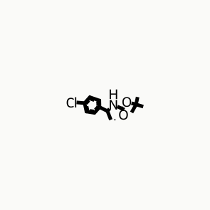 [CH2]C(NC(=O)OC(C)(C)C)c1ccc(Cl)cc1